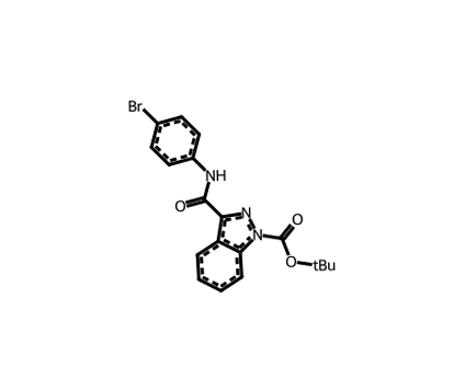 CC(C)(C)OC(=O)n1nc(C(=O)Nc2ccc(Br)cc2)c2ccccc21